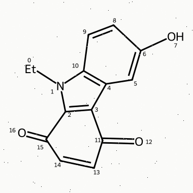 CCn1c2c(c3cc(O)ccc31)C(=O)C=CC2=O